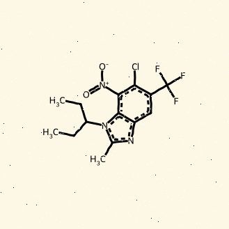 CCC(CC)n1c(C)nc2cc(C(F)(F)F)c(Cl)c([N+](=O)[O-])c21